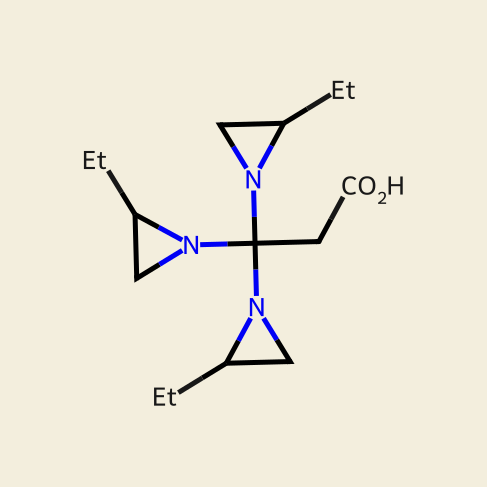 CCC1CN1C(CC(=O)O)(N1CC1CC)N1CC1CC